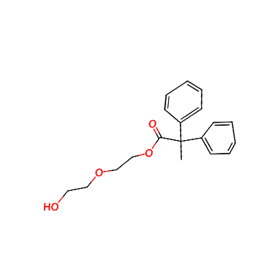 CC(C(=O)OCCOCCO)(c1ccccc1)c1ccccc1